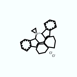 C1=C(C2CCCCC2)[CH]([Zr+2]2([CH]3C(C4CCCCC4)=Cc4ccccc43)[CH2][CH2]2)c2ccccc21.[Cl-].[Cl-]